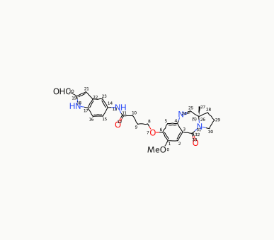 COc1cc2c(cc1OCCCC(=O)Nc1ccc3[nH]c(C=O)cc3c1)N=C[C@]1(C)CCCN1C2=O